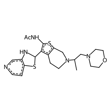 CC(=O)Nc1sc2c(c1C1Nc3cnccc3S1)CCN(C(C)CN1CCOCC1)C2